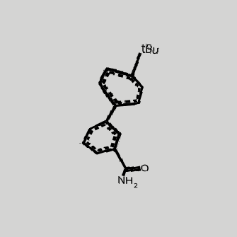 CC(C)(C)c1ccc(-c2c[c]cc(C(N)=O)c2)cc1